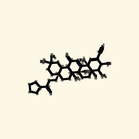 C[C@@H]1C(O)C(C#N)=C[C@]2(C)C3=CC(=O)C4C5CC(C)(C)CC[C@]5(CCC(=O)N5CCCC5)CC[C@@]4(C)[C@]3(C)CC[C@@H]12